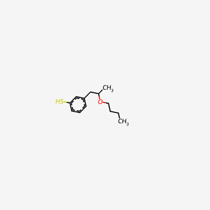 CCCCOC(C)Cc1cccc(S)c1